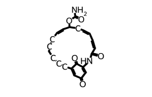 NC(=O)OC1/C=C\CCCCCCC2=CC(=O)C=C(NC(=O)/C=C\C=C/C1)C2=O